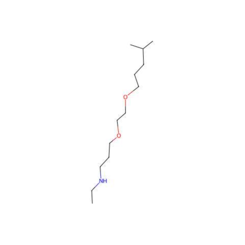 CCNCCCOCCOCCCC(C)C